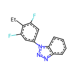 CCc1c(F)cc(-n2nnc3ccccc32)cc1F